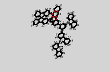 C1=c2c(n(-c3cc(-c4ccc5c(c4)c4ccccc4n5-c4ccc5c(c4)C4(c6ccccc6-c6ccc(N(c7ccccc7)c7ccccc7)cc64)c4ccccc4-5)cc(-c4ccc5c(c4)c4ccccc4n5-c4cccc5c4oc4ccccc45)c3)c3ccccc23)=CCC1